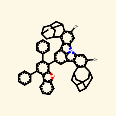 N#Cc1cc2c(c3c1C1CC4CC(C1)CC3C4)c1cc(-c3c(-c4ccccc4)cc(-c4ccccc4)c4c3oc3ccccc34)cc3c4c5c(c(C#N)cc4n2c13)C1CC2CC3CC5CC23C1